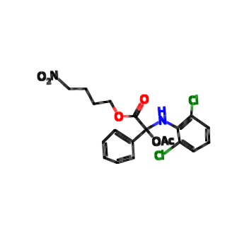 CC(=O)OC(Nc1c(Cl)cccc1Cl)(C(=O)OCCCC[N+](=O)[O-])c1ccccc1